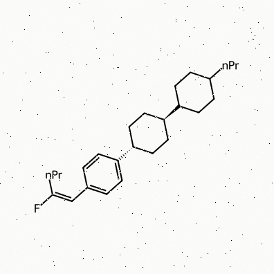 CCC/C(F)=C\c1ccc([C@H]2CC[C@H](C3CCC(CCC)CC3)CC2)cc1